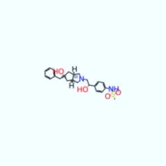 CS(=O)(=O)Nc1ccc(C(O)CN2C[C@@H]3C[C@@](O)(Cc4ccccc4)C[C@@H]3C2)cc1